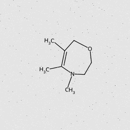 CC1=C(C)N(C)CCOC1